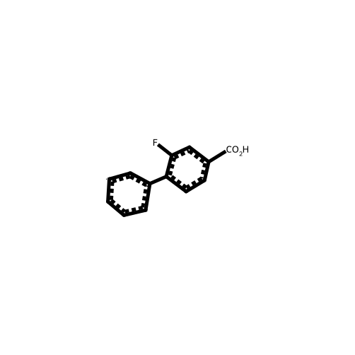 O=C(O)c1ccc(-c2c[c]ccc2)c(F)c1